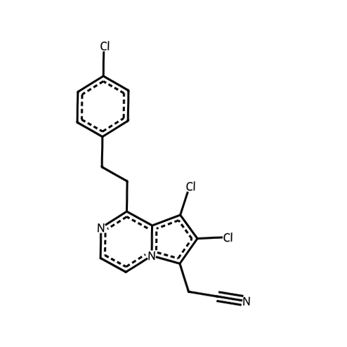 N#CCc1c(Cl)c(Cl)c2c(CCc3ccc(Cl)cc3)nccn12